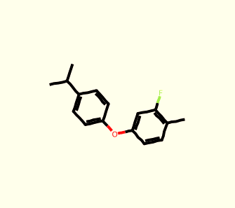 Cc1ccc(Oc2ccc(C(C)C)cc2)cc1F